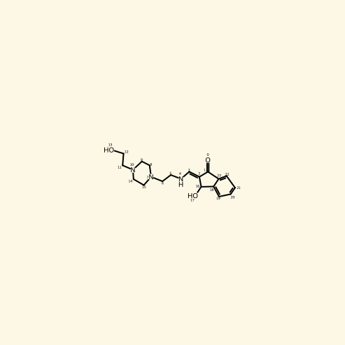 O=C1/C(=C/NCCN2CCN(CCO)CC2)C(O)c2ccccc21